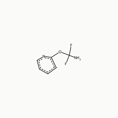 NC(F)(F)Oc1[c]cccn1